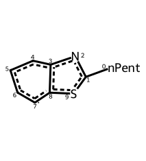 CCCCCc1nc2ccc[c]c2s1